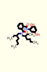 CCCCC(CC)CN(CC(CC)CCCC)C(=O)c1ccccc1C(=O)Nc1cc(O)ccc1O